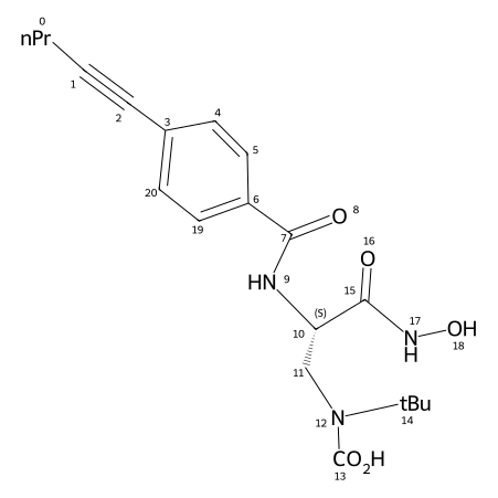 CCCC#Cc1ccc(C(=O)N[C@@H](CN(C(=O)O)C(C)(C)C)C(=O)NO)cc1